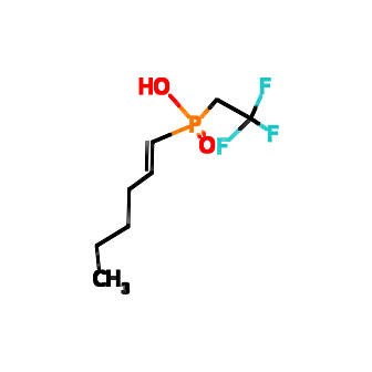 CCCCC=CP(=O)(O)CC(F)(F)F